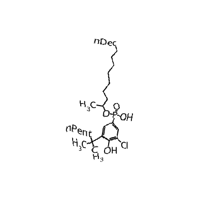 CCCCCCCCCCCCCCCCCC(C)OP(=O)(O)c1cc(Cl)c(O)c(C(C)(C)CCCCC)c1